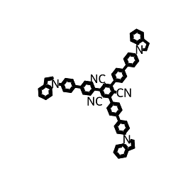 N#Cc1c(-c2ccc(-c3ccc(N4CCc5ccccc54)cc3)cc2)c(C#N)c(-c2ccc(-c3ccc(-n4ccc5ccccc54)cc3)cc2)c(C#N)c1-c1ccc(-c2ccc(-n3ccc4ccccc43)cc2)cc1